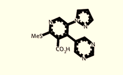 CSc1ncc(-n2cccn2)c(-c2cncnc2)c1C(=O)O